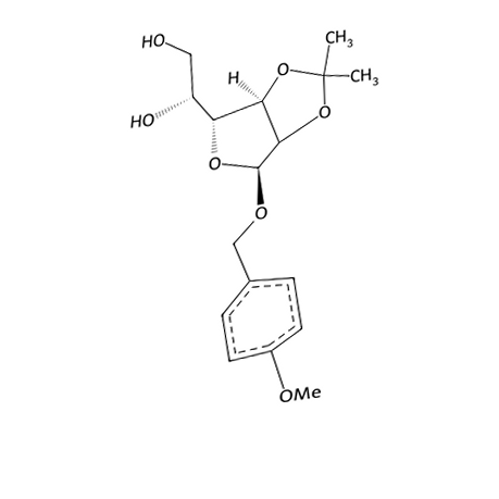 COc1ccc(CO[C@H]2O[C@H]([C@H](O)CO)[C@H]3OC(C)(C)OC23)cc1